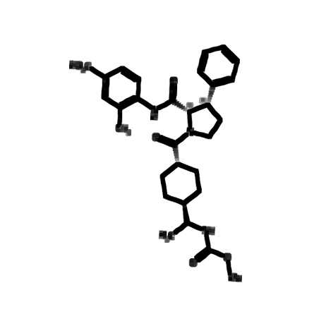 Cc1cc(C(=O)O)ccc1NC(=O)[C@@H]1[C@H](c2ccccc2)CCN1C(=O)[C@H]1CC[C@H](C(C)NC(=O)OC(C)(C)C)CC1